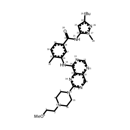 COCCN1CCN(c2ncc3ncnc(Nc4cc(C(=O)Nc5cc(C(C)(C)C)nn5C)ccc4C)c3n2)CC1